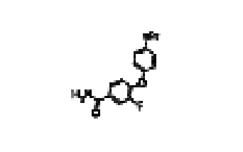 CCCc1ccc(Oc2ccc(C(N)=O)cc2F)cc1